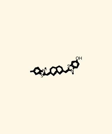 Cc1ccc2c(c1)sc(/C=C1/C=C3C=C(/C=C4\Sc5cc(O)ccc5N4C)CCC3CC1)[n+]2C